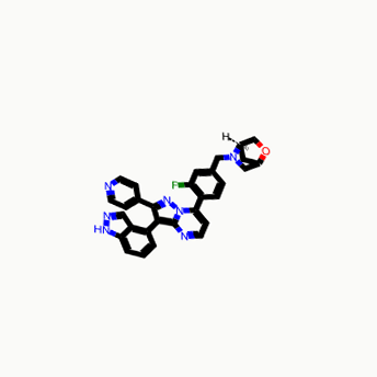 Fc1cc(CN2CC3C[C@@H]2CO3)ccc1-c1ccnc2c(-c3cccc4[nH]ncc34)c(-c3ccncc3)nn12